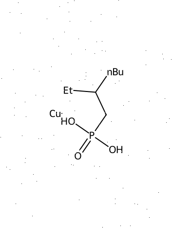 CCCCC(CC)CP(=O)(O)O.[Cu]